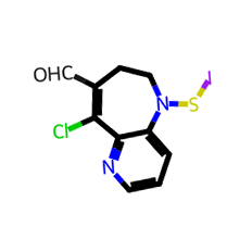 O=CC1=C(Cl)c2ncccc2N(SI)CC1